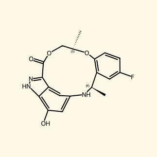 C[C@H]1COC(=O)c2n[nH]c3c(O)cc(cc23)N[C@H](C)c2cc(F)ccc2O1